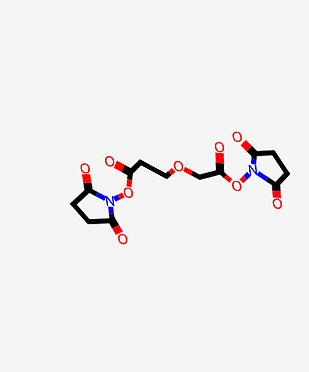 O=C(CCOCC(=O)ON1C(=O)CCC1=O)ON1C(=O)CCC1=O